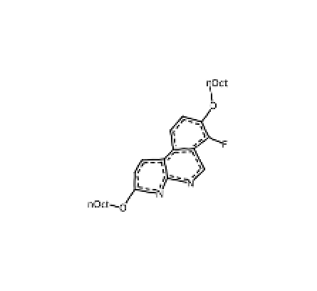 CCCCCCCCOc1ccc2c(ncc3c(F)c(OCCCCCCCC)ccc32)n1